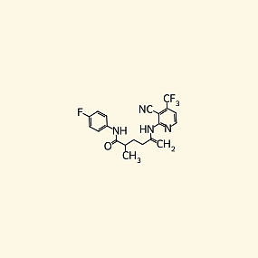 C=C(CCC(C)C(=O)Nc1ccc(F)cc1)Nc1nccc(C(F)(F)F)c1C#N